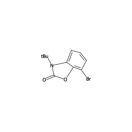 CC(C)(C)n1c(=O)oc2c(Br)cccc21